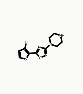 Clc1ccsc1-c1nc(N2CCNCC2)no1